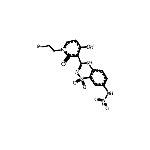 CC(C)CCn1ccc(O)c(C2=NS(=O)(=O)c3cc(N[SH](=O)=O)ccc3N2)c1=O